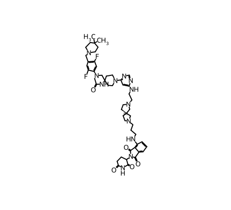 CC1(C)CCN(Cc2cc(F)c(N3CC(=O)NC4(CCN(c5cc(NCCN6CC[C@@]7(CCN(CCCNc8cccc9c8C(=O)N(C8CCC(=O)NC8=O)C9=O)C7)C6)ncn5)CC4)C3)cc2F)CC1